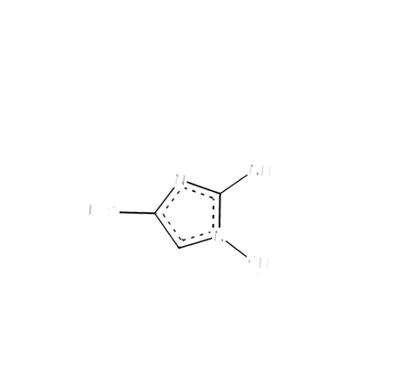 Cc1cn(C)c([NH])n1